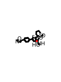 O=C(C[C@]1(c2ccc(-c3ccc(-c4cnco4)cc3)s2)CCCCS1(=O)=O)NO